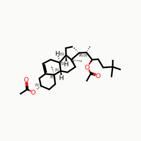 CC(=O)OC(CCC(C)(C)C)[C@@H](C)[C@H]1CC[C@H]2[C@@H]3CC=C4C[C@@H](OC(C)=O)CC[C@]4(C)[C@H]3CC[C@]12C